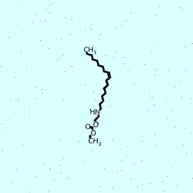 CCCCCCCC/C=C\CCCCCCCCNCCOC(=O)OCC